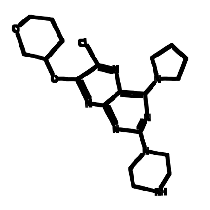 Clc1nc2c(N3CCCC3)nc(N3CCNCC3)nc2nc1OC1CCCOC1